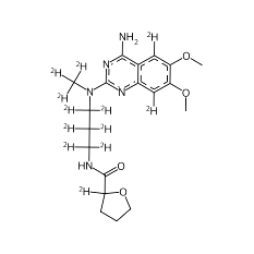 [2H]c1c(OC)c(OC)c([2H])c2c(N)nc(N(C([2H])([2H])[2H])C([2H])([2H])C([2H])([2H])C([2H])([2H])NC(=O)C3([2H])CCCO3)nc12